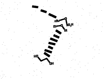 C=C.C=C.C=C.C=C.C=C.C=C.C=C.C=C.C=C.C=C.CCCCOS(=O)(=O)O.CCOCC.OCCO